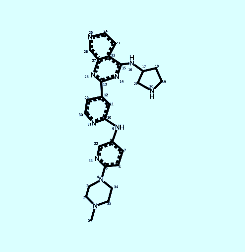 CN1CCN(c2ccc(Nc3cc(-c4nc(NC5CCNC5)c5ccncc5n4)ccn3)cn2)CC1